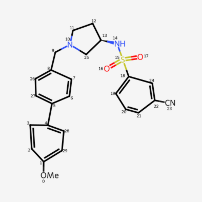 COc1ccc(-c2ccc(CN3CC[C@@H](NS(=O)(=O)c4cccc(C#N)c4)C3)cc2)cc1